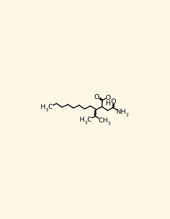 CCCCCCCCC(=C(C)C)C(CC(N)=O)C(=O)O